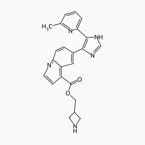 Cc1cccc(-c2[nH]cnc2-c2ccc3nccc(C(=O)OCC4CNC4)c3c2)n1